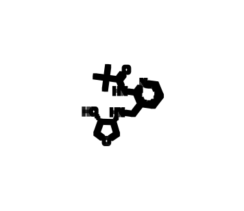 CC(C)(C)C(=O)Nc1ncccc1CN[C@@H]1COC[C@@H]1O